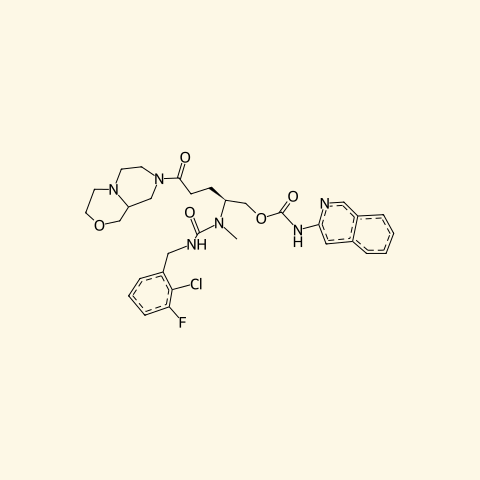 CN(C(=O)NCc1cccc(F)c1Cl)[C@@H](CCC(=O)N1CCN2CCOCC2C1)COC(=O)Nc1cc2ccccc2cn1